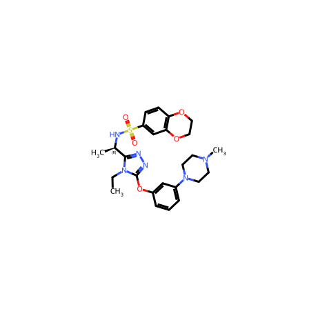 CCn1c(Oc2cccc(N3CCN(C)CC3)c2)nnc1[C@@H](C)NS(=O)(=O)c1ccc2c(c1)OCCO2